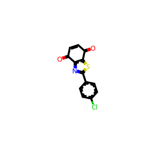 O=C1C=CC(=O)c2sc(-c3ccc(Cl)cc3)nc21